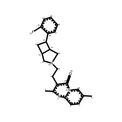 Cc1ccc2nc(C)c(CCN3CC4CC(c5ccccc5F)C4C3)c(=O)n2c1